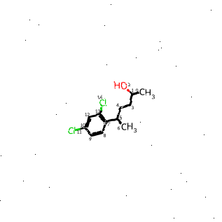 CC(O)CCC(C)c1ccc(Cl)cc1Cl